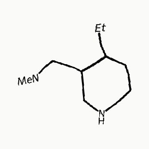 CCC1CCNCC1CNC